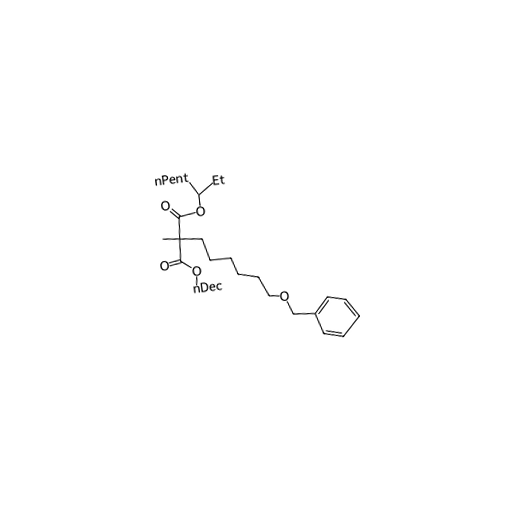 CCCCCCCCCCOC(=O)C(C)(CCCCCCOCc1ccccc1)C(=O)OC(CC)CCCCC